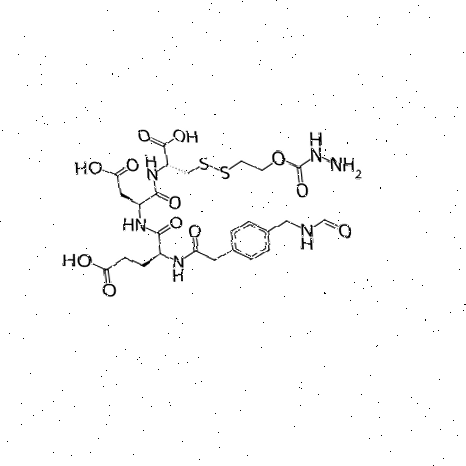 NNC(=O)OCCSSC[C@H](NC(=O)[C@H](CC(=O)O)NC(=O)[C@H](CCC(=O)O)NC(=O)Cc1ccc(CNC=O)cc1)C(=O)O